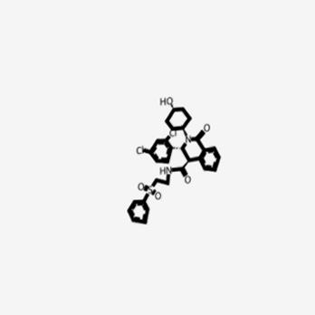 O=C(NCCS(=O)(=O)c1ccccc1)[C@@H]1c2ccccc2C(=O)N([C@H]2CC[C@H](O)CC2)[C@H]1c1ccc(Cl)cc1Cl